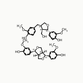 COc1cc(C[C@H]2CO[C@H](c3ccc(O)c(OC)c3)[C@H]2CO)ccc1O.COc1cc([C@H]2OC[C@H]3[C@@H]2CO[C@@H]3c2ccc(O)c(OC)c2)ccc1O